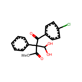 COC(=O)C(C(=O)c1ccc(Cl)cc1)(c1ccccc1)C(O)O